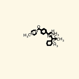 CN1CCN(C(=O)c2ccc(-c3c[nH]c(C(C4CCCCC4)C(C)(C)C)n3)cc2)CC1